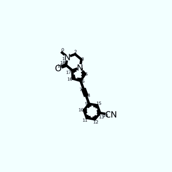 CN1CCn2cc(C#Cc3cccc(C#N)c3)cc2C1=O